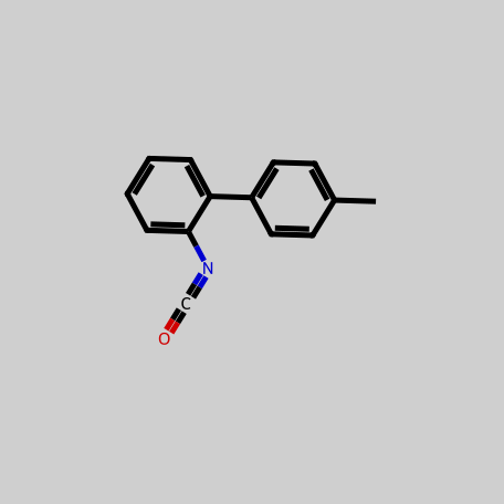 Cc1ccc(-c2ccccc2N=C=O)cc1